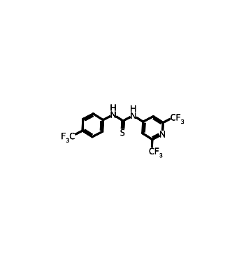 FC(F)(F)c1ccc(NC(=S)Nc2cc(C(F)(F)F)nc(C(F)(F)F)c2)cc1